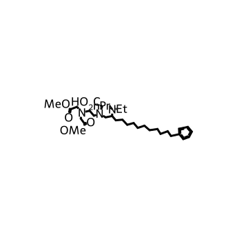 CCCN(CC)C(CCCCCCCCCCCc1ccccc1)CN(CCN(CC(=O)OC)CC(=O)OC)CC(=O)O